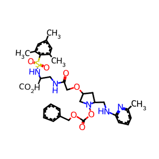 Cc1cc(C)c(S(=O)(=O)NC(CNC(=O)COC2CC(CNc3cccc(C)n3)N(OC(=O)OCc3ccccc3)C2)C(=O)O)c(C)c1